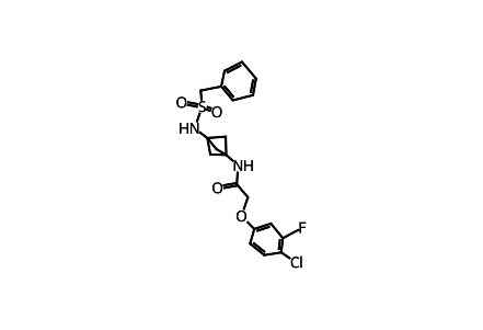 O=C(COc1ccc(Cl)c(F)c1)NC12CC(NS(=O)(=O)Cc3ccccc3)(C1)C2